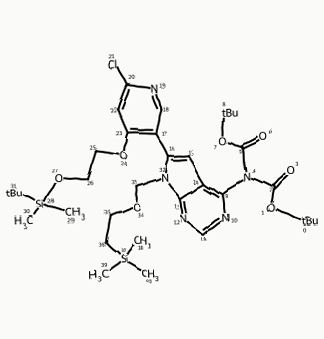 CC(C)(C)OC(=O)N(C(=O)OC(C)(C)C)c1ncnc2c1cc(-c1cnc(Cl)cc1OCCO[Si](C)(C)C(C)(C)C)n2COCC[Si](C)(C)C